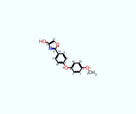 COc1ccc(Oc2ccc(-c3nc(O)co3)cc2)cc1